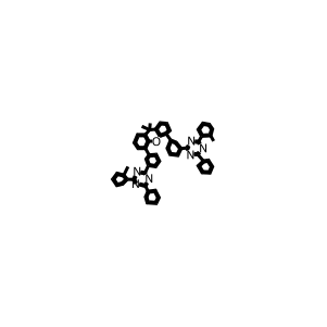 Cc1ccccc1-c1nc(-c2ccccc2)nc(-c2cccc(-c3cccc4c3Oc3c(-c5cccc(-c6nc(-c7ccccc7)nc(-c7ccccc7C)n6)c5)cccc3C4(C)C)c2)n1